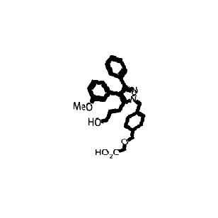 COc1cccc(-c2c(-c3ccccc3)nn(CC3CCC(COCC(=O)O)CC3)c2CCCO)c1